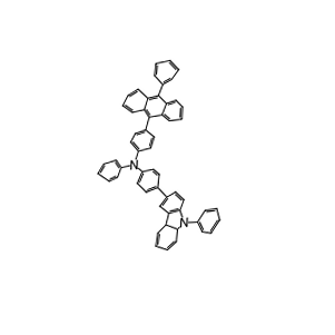 C1=CC2c3cc(-c4ccc(N(c5ccccc5)c5ccc(-c6c7ccccc7c(-c7ccccc7)c7ccccc67)cc5)cc4)ccc3N(c3ccccc3)C2C=C1